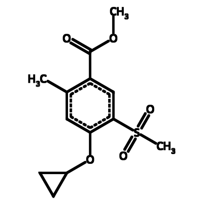 COC(=O)c1cc(S(C)(=O)=O)c(OC2CC2)cc1C